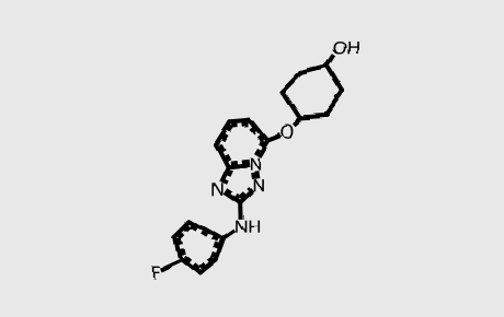 OC1CCC(Oc2cccc3nc(Nc4ccc(F)cc4)nn23)CC1